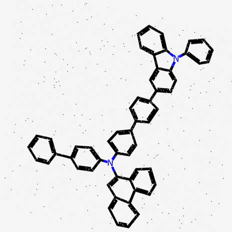 c1ccc(-c2ccc(N(c3ccc(-c4ccc(-c5ccc6c(c5)c5ccccc5n6-c5ccccc5)cc4)cc3)c3cc4ccccc4c4ccccc34)cc2)cc1